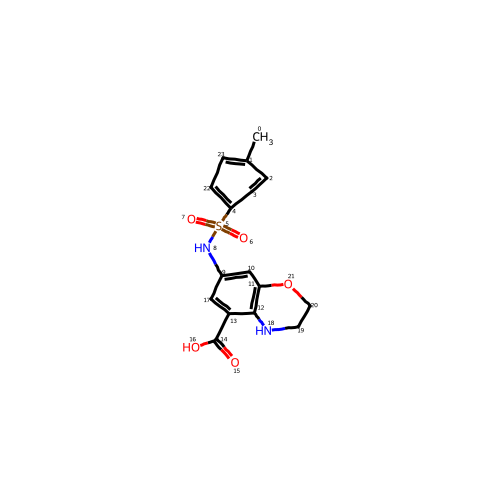 Cc1ccc(S(=O)(=O)Nc2cc3c(c(C(=O)O)c2)NCCO3)cc1